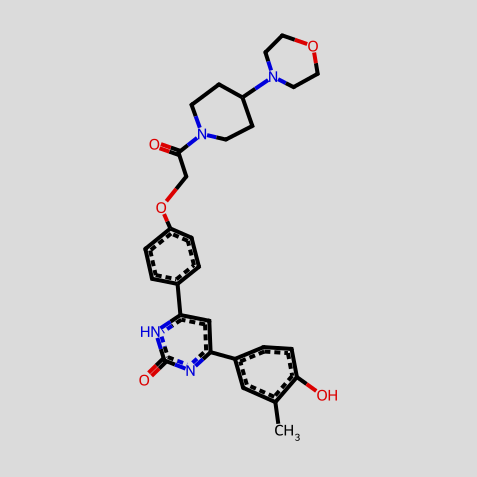 Cc1cc(-c2cc(-c3ccc(OCC(=O)N4CCC(N5CCOCC5)CC4)cc3)[nH]c(=O)n2)ccc1O